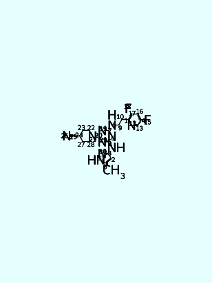 Cc1cc(Nc2nc(NCCc3ncc(F)cc3F)nc(N3CCC(C#N)CC3)n2)n[nH]1